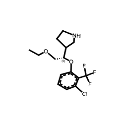 CCOC[C@@H](Oc1cccc(Cl)c1C(F)(F)F)C1CCNC1